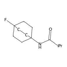 CC(C)C(=O)NC12CCC(F)(CC1)CC2